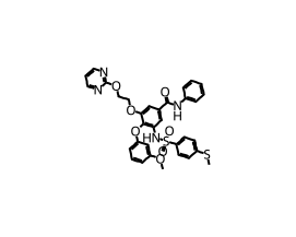 COc1cccc(Oc2c(NS(=O)(=O)c3ccc(SC)cc3)cc(C(=O)Nc3ccccc3)cc2OCCOc2ncccn2)c1